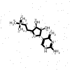 C=C1N=C(N)NC=C1[C@@H]1OC(CCP(=C)(C)C)[C@@H](O)[C@H]1O